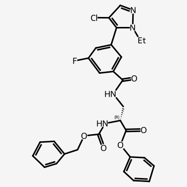 CCn1ncc(Cl)c1-c1cc(F)cc(C(=O)NC[C@@H](NC(=O)OCc2ccccc2)C(=O)Oc2ccccc2)c1